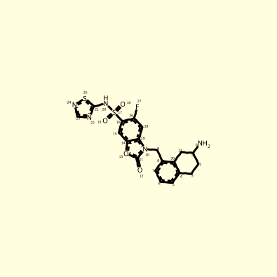 NC1CCc2cccc(Cn3c(=O)oc4cc(S(=O)(=O)Nc5ncns5)c(F)cc43)c2C1